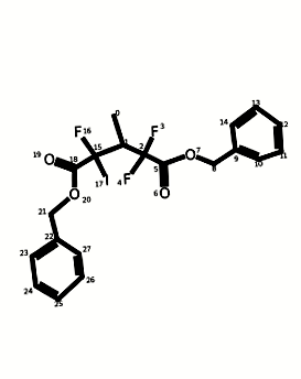 CC(C(F)(F)C(=O)OCc1ccccc1)C(F)(I)C(=O)OCc1ccccc1